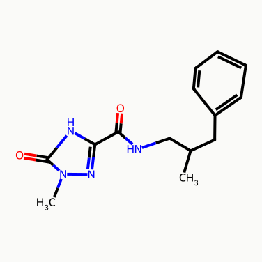 CC(CNC(=O)c1nn(C)c(=O)[nH]1)Cc1ccccc1